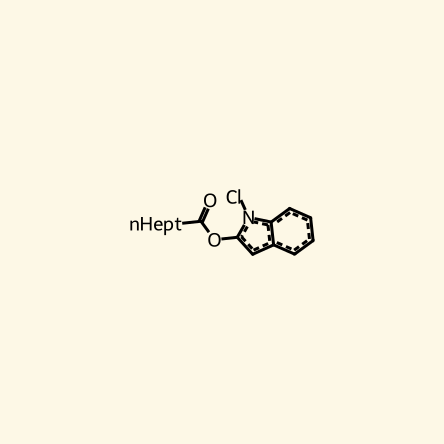 CCCCCCCC(=O)Oc1cc2ccccc2n1Cl